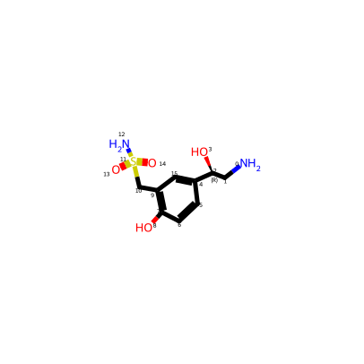 NC[C@H](O)c1ccc(O)c(CS(N)(=O)=O)c1